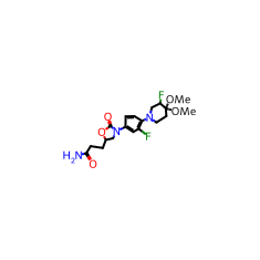 COC1(OC)CCN(c2ccc(N3CC(CCC(N)=O)OC3=O)cc2F)CC1F